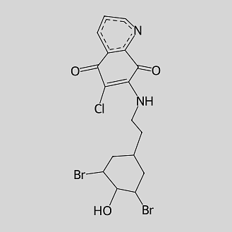 O=C1C(Cl)=C(NCCC2CC(Br)C(O)C(Br)C2)C(=O)c2ncccc21